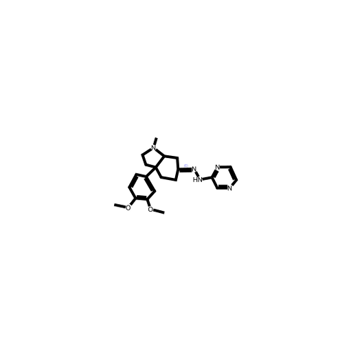 COc1ccc(C23CC/C(=N\Nc4cnccn4)CC2N(C)CC3)cc1OC